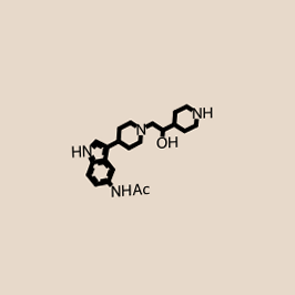 CC(=O)Nc1ccc2[nH]cc(C3CCN(CC(O)C4CCNCC4)CC3)c2c1